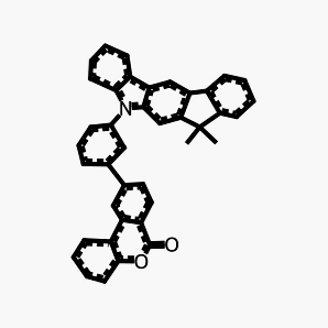 CC1(C)c2ccccc2-c2cc3c4ccccc4n(-c4cccc(-c5ccc6c(=O)oc7ccccc7c6c5)c4)c3cc21